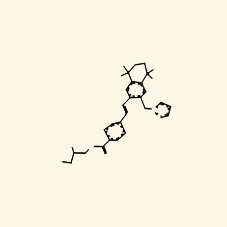 CC1(C)CCC(C)(C)c2cc(Cn3cccn3)c(/C=C/c3ccc(C(=O)OCC(O)CO)cc3)cc21